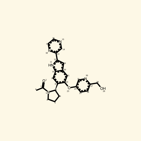 CC(=O)N1CCC[C@@H]1c1cc2[nH]c(-c3cnccn3)cc2cc1Oc1ccc(CO)nc1